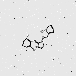 [O]N1CC=CC=C1CON1CCNC1=Nc1c(Br)cccc1Br